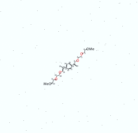 C=C(COCCOCCOC)c1ccc(C(C)=COCCOCCOC)cc1